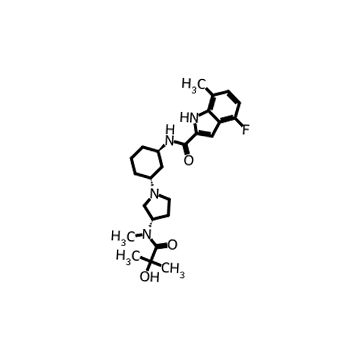 Cc1ccc(F)c2cc(C(=O)N[C@@H]3CCC[C@@H](N4CC[C@H](N(C)C(=O)C(C)(C)O)C4)C3)[nH]c12